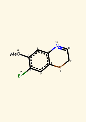 COc1cc2c(cc1Br)SCC=N2